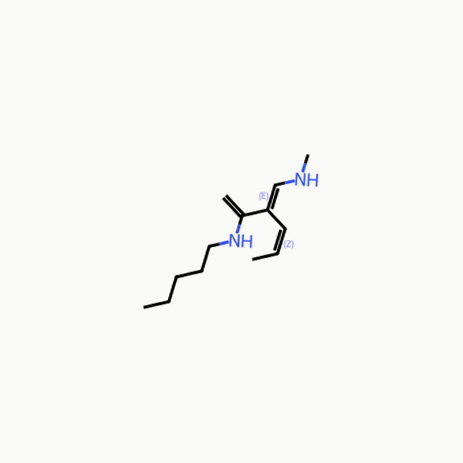 C=C(NCCCCC)C(/C=C\C)=C/NC